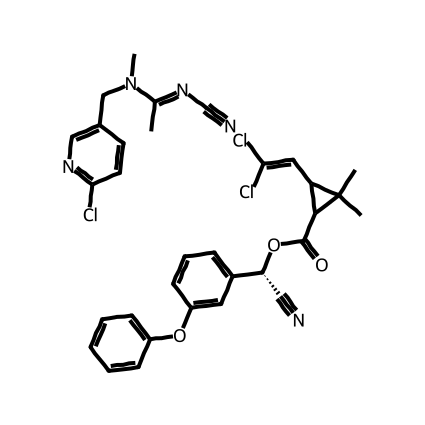 C/C(=N\C#N)N(C)Cc1ccc(Cl)nc1.CC1(C)C(C=C(Cl)Cl)C1C(=O)O[C@H](C#N)c1cccc(Oc2ccccc2)c1